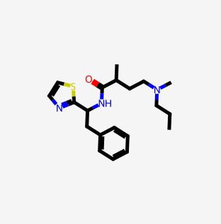 CCCN(C)CCC(C)C(=O)NC(Cc1ccccc1)c1nccs1